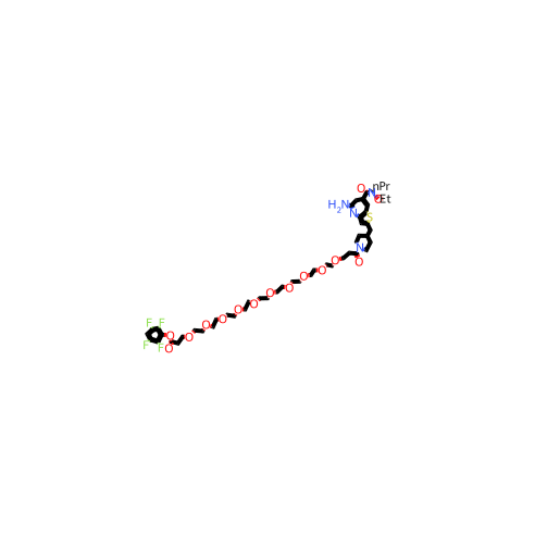 CCCN(OCC)C(=O)C1=Cc2sc(CC3CCN(C(=O)CCOCCOCCOCCOCCOCCOCCOCCOCCOCCOCCC(=O)Oc4c(F)c(F)cc(F)c4F)CC3)cc2N=C(N)C1